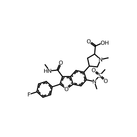 CNC(=O)c1c(-c2ccc(F)cc2)oc2cc(N(C)S(C)(=O)=O)c(C3CC(C(=O)O)N(C)C3)cc12